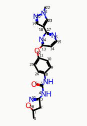 CC1CC(NC(=O)Nc2ccc(Oc3ccnc(-c4cnn(C)c4)n3)cc2)=NO1